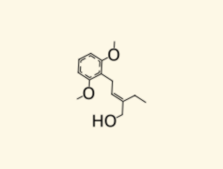 CC/C(=C\Cc1c(OC)cccc1OC)CO